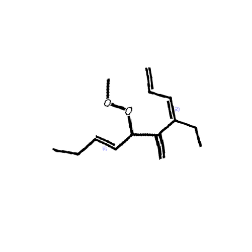 C=C/C=C(/CC)C(=C)C(/C=C/CC)OOC